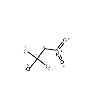 O=[SH](=O)CC(Cl)(Cl)Cl